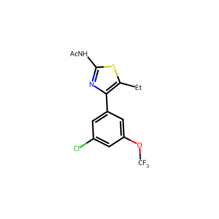 CCc1sc(NC(C)=O)nc1-c1cc(Cl)cc(OC(F)(F)F)c1